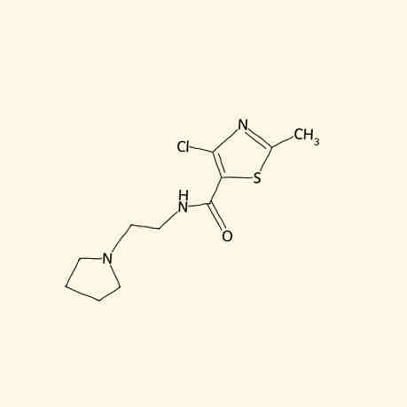 Cc1nc(Cl)c(C(=O)NCCN2CCCC2)s1